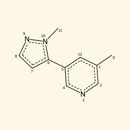 Cc1cncc(-c2ccnn2C)c1